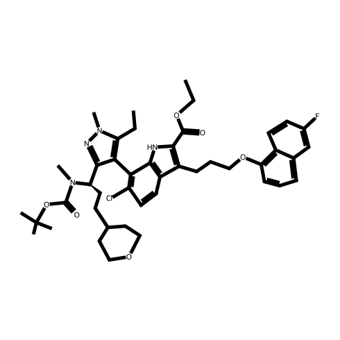 CCOC(=O)c1[nH]c2c(-c3c([C@@H](CCC4CCOCC4)N(C)C(=O)OC(C)(C)C)nn(C)c3CC)c(Cl)ccc2c1CCCOc1cccc2cc(F)ccc12